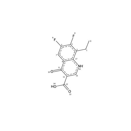 CCc1c(F)c(F)cc2c(=O)c(C(=O)O)c[nH]c12